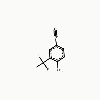 [C-]#[N+]c1ccc(C)c(C(F)(F)F)c1